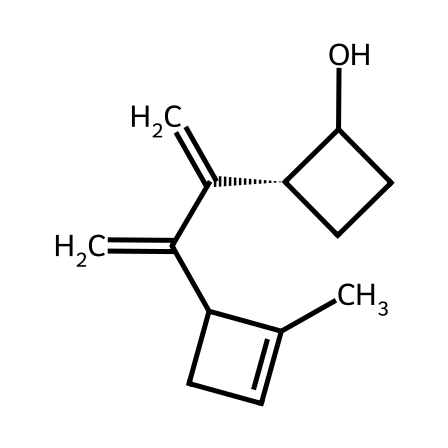 C=C(C(=C)[C@H]1CCC1O)C1CC=C1C